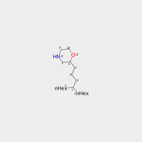 CCCCCCC(CCCCCC)CCCC1CNCCO1